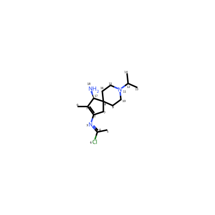 CC1=C(/N=C(\C)Cl)CC2(CCN(C(C)C)CC2)[C@@H]1N